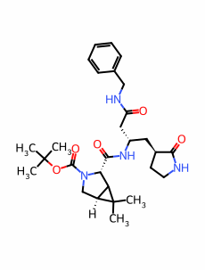 CC(C)(C)OC(=O)N1C[C@H]2C([C@H]1C(=O)N[C@H](CC(=O)NCc1ccccc1)C[C@@H]1CCNC1=O)C2(C)C